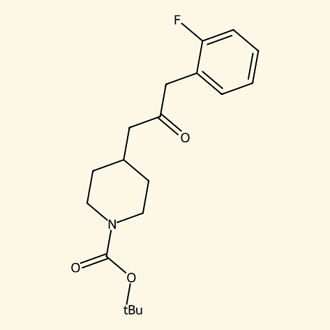 CC(C)(C)OC(=O)N1CCC(CC(=O)Cc2ccccc2F)CC1